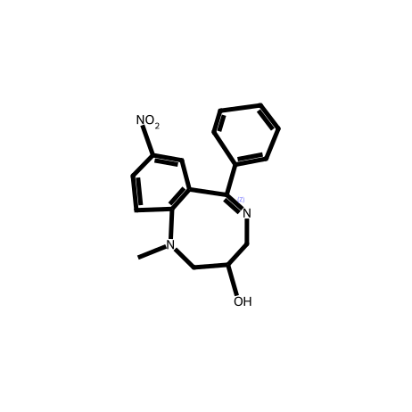 CN1CC(O)C/N=C(/c2ccccc2)c2cc([N+](=O)[O-])ccc21